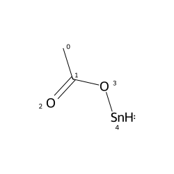 CC(=O)[O][SnH]